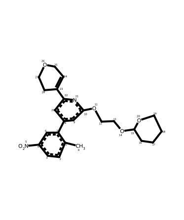 Cc1ccc([N+](=O)[O-])cc1-c1cc(OCCOC2CCCCO2)nc(C2=CCOCC2)c1